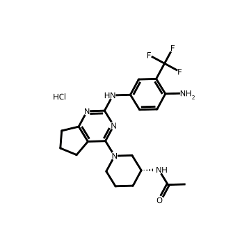 CC(=O)N[C@@H]1CCCN(c2nc(Nc3ccc(N)c(C(F)(F)F)c3)nc3c2CCC3)C1.Cl